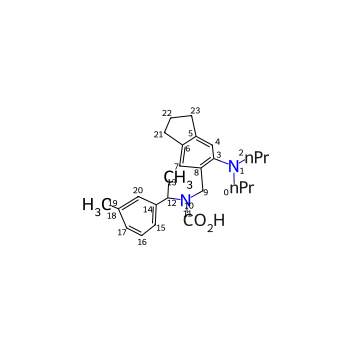 CCCN(CCC)c1cc2c(cc1CN(C(=O)O)C(C)c1cccc(C)c1)CCC2